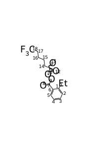 CCc1ccccc1C(=O)OOS(=O)(=O)CCCCC(F)(F)F